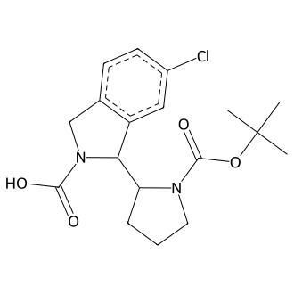 CC(C)(C)OC(=O)N1CCCC1C1c2cc(Cl)ccc2CN1C(=O)O